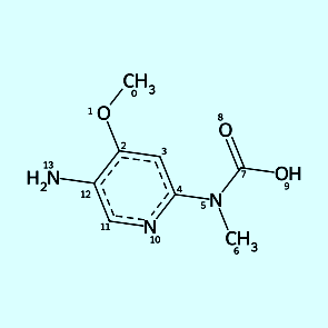 COc1cc(N(C)C(=O)O)ncc1N